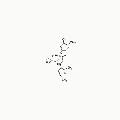 COc1cc(C=C(CNc2ccc(C)nc2C)P2(=O)OCC(C)(C)CO2)ccc1O